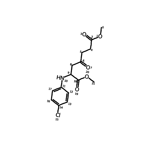 COC(=O)CCC(=O)CC(Nc1ccc(Cl)cc1)C(=O)OC